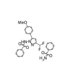 COc1ccc(-c2cc(C(F)F)nn2NS(=O)(=O)c2ccccc2)cc1.NS(=O)(=O)c1ccccc1